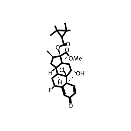 COC(=O)[C@@]1(OC(=O)C2C(C)(C)C2(C)C)[C@H](C)C[C@H]2[C@@H]3C[C@H](F)C4=CC(=O)C=C[C@]4(C)[C@@]3(Cl)[C@@H](O)C[C@@]21C